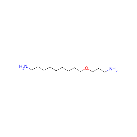 NCCCCCCCCCOCCCN